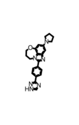 c1nc(-c2ccc(-c3nc4cc(N5CCCC5)cc5c4n3CCCO5)cc2)n[nH]1